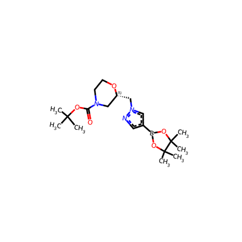 CC(C)(C)OC(=O)N1CCO[C@H](Cn2cc(B3OC(C)(C)C(C)(C)O3)cn2)C1